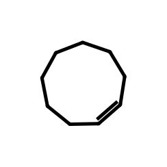 C1=C\CCCCCCC/1